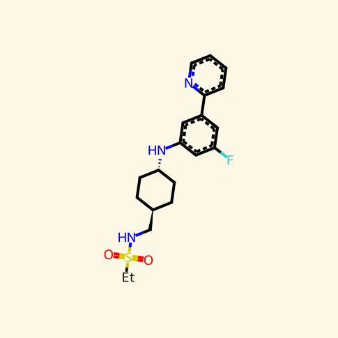 CCS(=O)(=O)NC[C@H]1CC[C@H](Nc2cc(F)cc(-c3ccccn3)c2)CC1